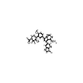 COc1ccc(-c2cc(-c3cnc4c(c3)ncn4C)c3c(N)ncnn23)cc1N1CCN(C(C)=O)C(C)(C)C1=O